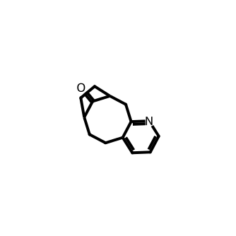 O=C1C2CCc3cccnc3CC1CC2